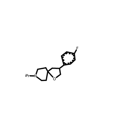 CC(C)N1CCC2(CC1)CC(c1ccc(F)cc1)CO2